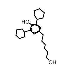 OCCCCCCc1cc(C2CCCCC2)c(O)c(C2CCCCC2)c1